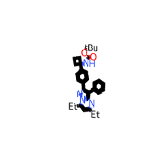 CCc1cc(CC)n2nc(-c3ccc(C4(NC(=O)OC(C)(C)C)CCC4)cc3)c(-c3ccccc3)c2n1